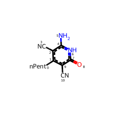 CCCCCc1c(C#N)c(N)[nH]c(=O)c1C#N